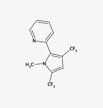 Cn1c(C(F)(F)F)cc(C(F)(F)F)c1-c1ccccn1